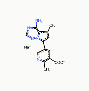 Cc1ncc(-c2cc(C(F)(F)F)c3c(N)ncnn23)cc1C(=O)[O-].[Na+]